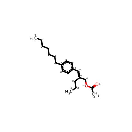 CCCCCCCc1ccc(/C=C(\CCC)COC(C)=O)cc1